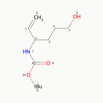 C=CC(CCCO)NC(=O)OC(C)(C)C